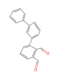 O=Cc1cccc(-c2cccc(-c3ccccc3)c2)c1C=O